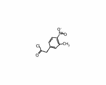 Cc1cc(CC(=O)Cl)ccc1[N+](=O)[O-]